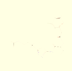 CCC(NC(=O)Cc1cc(F)cc(F)c1)C(=O)Nc1nnc(C(C)(C)CCNC(C)C)s1